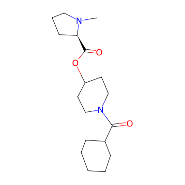 CN1CCC[C@@H]1C(=O)OC1CCN(C(=O)C2CCCCC2)CC1